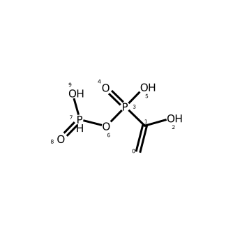 C=C(O)P(=O)(O)O[PH](=O)O